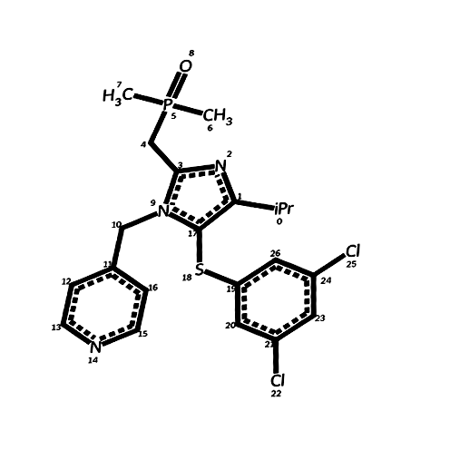 CC(C)c1nc(CP(C)(C)=O)n(Cc2ccncc2)c1Sc1cc(Cl)cc(Cl)c1